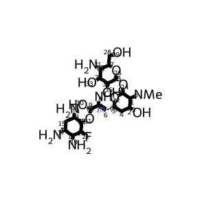 CNC1C(O)C[C@H](/C=C(\N)[C@H](O)O[C@@H]2C(N)C[C@@H](N)C(N)C2F)OC1O[C@H]1OC(CO)[C@@H](N)C(O)C1O